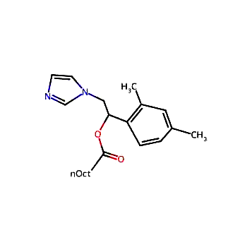 CCCCCCCCC(=O)OC(Cn1ccnc1)c1ccc(C)cc1C